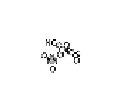 N#Cc1cccc(-c2cc(-c3nc(-c4ccccc4)nc(-c4ccccc4)n3)ccc2-n2c3ccccc3c3cc4sc5ccccc5c4cc32)c1